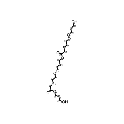 O=C(CSCCOOCSCOC(=O)CSCCOOCSCO)OCSCO